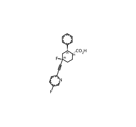 O=C(O)[C@@H]1CC[C@](F)(C#Cc2ccc(F)cn2)C[C@H]1c1ccccc1